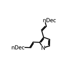 CCCCCCCCCCC=CC1=C(C=CCCCCCCCCCC)[N]C=C1